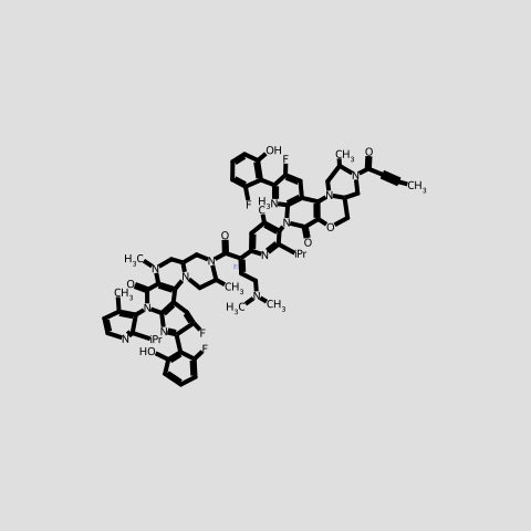 CC#CC(=O)N1CC2COc3c(c4cc(F)c(-c5c(O)cccc5F)nc4n(-c4c(C)cc(/C(=C\CN(C)C)C(=O)N5CC6CN(C)c7c(c8cc(F)c(-c9c(O)cccc9F)nc8n(-c8c(C)ccnc8C(C)C)c7=O)N6CC5C)nc4C(C)C)c3=O)N2CC1C